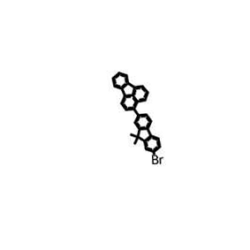 CC1(C)c2cc(Br)ccc2-c2ccc(-c3ccc4c5c(cccc35)-c3ccccc3-4)cc21